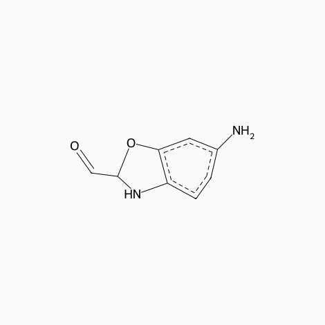 Nc1ccc2c(c1)OC(C=O)N2